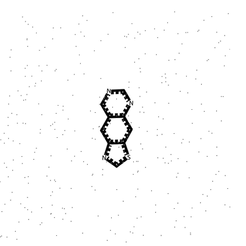 [c]1ncnc2cc3scnc3cc12